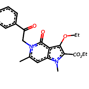 CCOC(=O)c1c(OCC)c2c(=O)n(CC(=O)c3ccccc3)c(C)cc2n1C